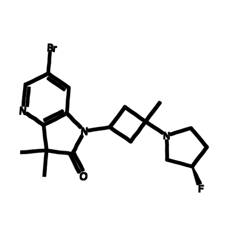 CC1(C)C(=O)N(C2CC(C)(N3CC[C@@H](F)C3)C2)c2cc(Br)cnc21